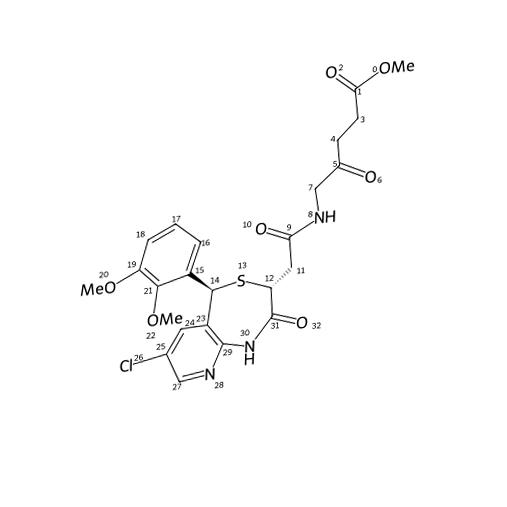 COC(=O)CCC(=O)CNC(=O)C[C@H]1S[C@H](c2cccc(OC)c2OC)c2cc(Cl)cnc2NC1=O